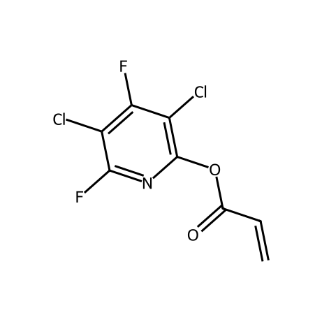 C=CC(=O)Oc1nc(F)c(Cl)c(F)c1Cl